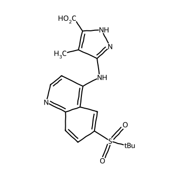 Cc1c(Nc2ccnc3ccc(S(=O)(=O)C(C)(C)C)cc23)n[nH]c1C(=O)O